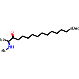 CCCCCCCCCCCCCCCCCCCCCC(=O)C(CC)NCCCC